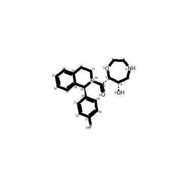 O=C([C@@H]1OCCNC[C@@H]1O)N1CCc2ccccc2[C@@H]1c1ccc(F)cc1